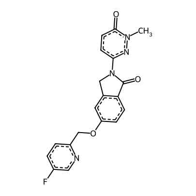 Cn1nc(N2Cc3cc(OCc4ccc(F)cn4)ccc3C2=O)ccc1=O